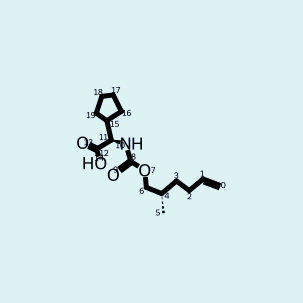 C=CCC[C@H](C)COC(=O)N[C@@H](C(=O)O)C1CCCC1